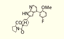 COc1ccc(F)cc1-c1ccnc2[nH]c(C3=CCC(C(=O)N4CCCC4C(=O)O)CC3)cc12